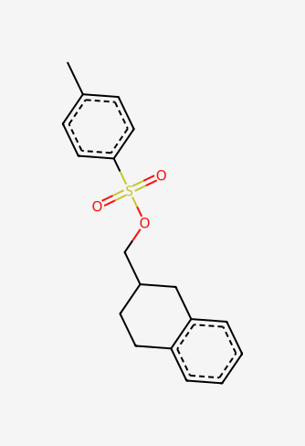 Cc1ccc(S(=O)(=O)OCC2CCc3ccccc3C2)cc1